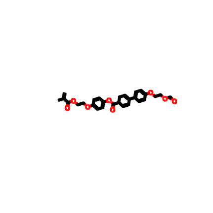 C=C(C)C(=O)OCCOc1ccc(OC(=O)C2C=CC(c3ccc(OCCOC=O)cc3)=CC2)cc1